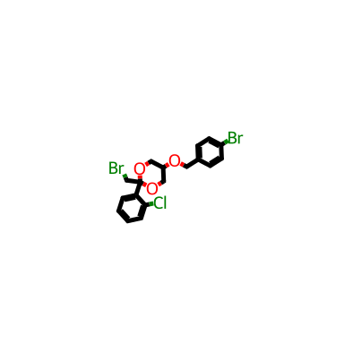 Clc1ccccc1C1(CBr)OCC(OCc2ccc(Br)cc2)CO1